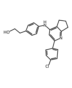 OCCc1ccc(Nc2cc(-c3ccc(Cl)cc3)nc3c2CCC3)cc1